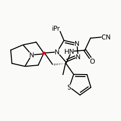 Cc1nnc(C(C)C)n1C1CC2CCC(C1)N2CC[C@H](NC(=O)CC#N)c1cccs1